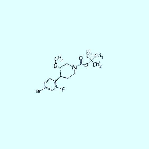 CO[C@@H]1CN(C(=O)OC(C)(C)C)CC[C@H]1c1ccc(Br)cc1F